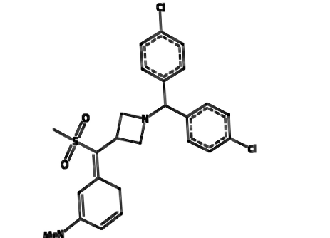 CNC1=CC(=C(C2CN(C(c3ccc(Cl)cc3)c3ccc(Cl)cc3)C2)S(C)(=O)=O)CC=C1